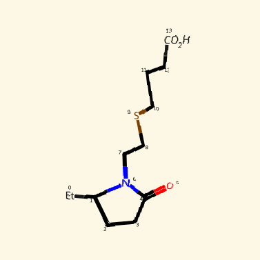 CCC1CCC(=O)N1CCSCCCC(=O)O